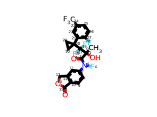 CC(O)(C(=O)N(F)c1ccc2c(c1)COC2=O)C(F)(F)C1(c2cc(C(F)(F)F)ccc2F)CC1